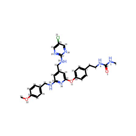 CNC(=O)NCCc1ccc(Oc2cc(CNc3ncc(Cl)cn3)cc(NCc3ccc(OC)cc3)n2)cc1